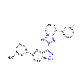 Cc1cncc(-c2ccc3[nH]nc(-c4nc5c(-c6cccc(F)c6)cccc5[nH]4)c3n2)c1